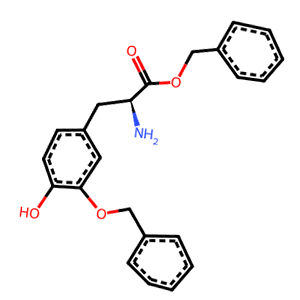 N[C@@H](Cc1ccc(O)c(OCc2ccccc2)c1)C(=O)OCc1ccccc1